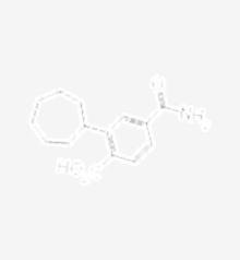 NC(=O)c1ccc(C(=O)O)c(C2CCCCCC2)c1